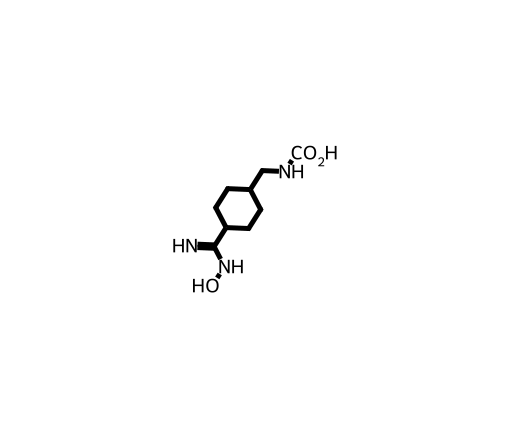 N=C(NO)C1CCC(CNC(=O)O)CC1